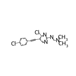 CN(C)/C=N/c1ncc(C#Cc2ccc(Cl)cc2)c(Cl)n1